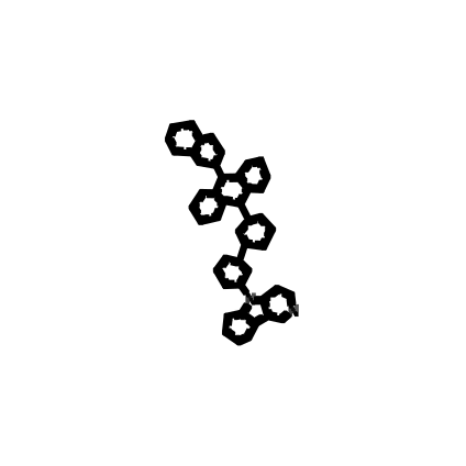 c1cc(-c2cccc(-n3c4ccccc4c4cnccc43)c2)cc(-c2c3ccccc3c(-c3ccc4ccccc4c3)c3ccccc23)c1